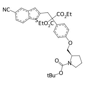 CCOC(=O)C(Cc1cc2cc(C#N)ccc2s1)(C(=O)OCC)c1ccc(OC[C@H]2CCCN2C(=O)OC(C)(C)C)cc1